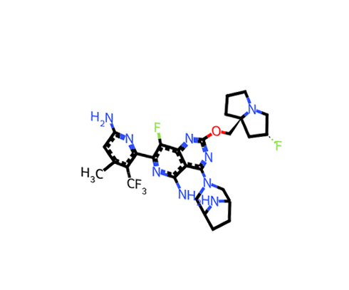 Cc1cc(N)nc(-c2nc(N)c3c(N4CC5CCC(C4)N5)nc(OC[C@@]45CCCN4C[C@H](F)C5)nc3c2F)c1C(F)(F)F